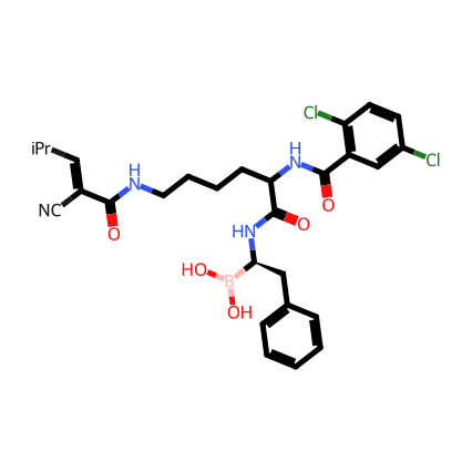 CC(C)C=C(C#N)C(=O)NCCCCC(NC(=O)c1cc(Cl)ccc1Cl)C(=O)N[C@@H](Cc1ccccc1)B(O)O